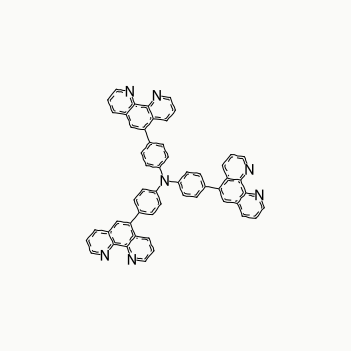 c1cnc2c(c1)cc(-c1ccc(N(c3ccc(-c4cc5cccnc5c5ncccc45)cc3)c3ccc(-c4cc5cccnc5c5ncccc45)cc3)cc1)c1cccnc12